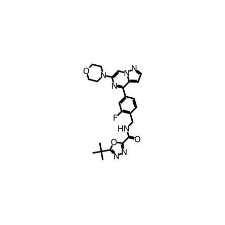 CC(C)(C)c1nnc(C(=O)NCc2ccc(-c3nc(N4CCOCC4)cn4nccc34)cc2F)o1